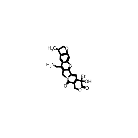 CCC1(O)C(=O)OCc2c1cc1n(c2=O)Cc2c-1nc1cc3c(cc1c2CN)C(C)CO3